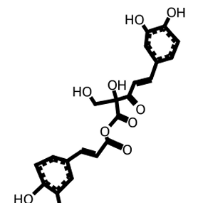 O=C(C=Cc1ccc(O)c(O)c1)OC(=O)C(O)(CO)C(=O)C=Cc1ccc(O)c(O)c1